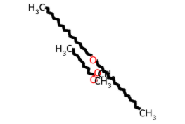 CCCCCCCCCC(OC)OC.CCCCCCCCCCCCCCCCCCOCCCCCCCCCCCCCCCCCC